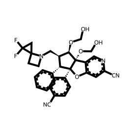 N#Cc1ccc([C@@]23Oc4cc(C#N)ncc4[C@]2(OCO)[C@H](OCO)[C@H](CN2CCC24CC4(F)F)[C@H]3c2ccccc2)cc1